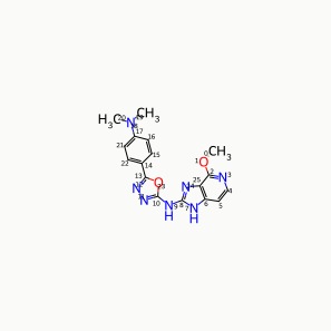 COc1nccc2[nH]c(Nc3nnc(-c4ccc(N(C)C)cc4)o3)nc12